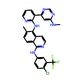 CNc1cc(-c2cccnc2Nc2c(C)ccc3c(Nc4ccc(Cl)c(C(F)(F)F)c4)nccc23)ncn1